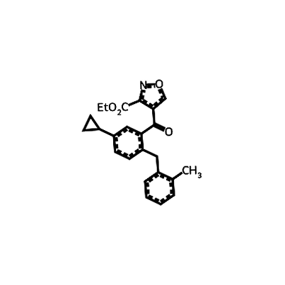 CCOC(=O)c1nocc1C(=O)c1cc(C2CC2)ccc1Cc1ccccc1C